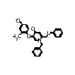 Cc1cc(Cl)ccc1Oc1cn(Cc2ccccc2)c(COc2ccccc2)cc1=O